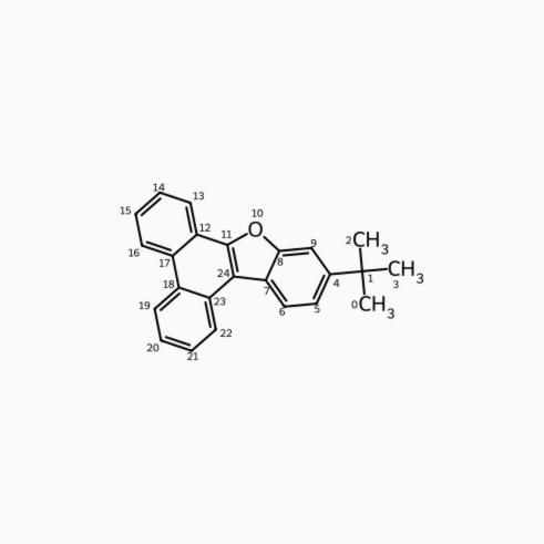 CC(C)(C)c1ccc2c(c1)oc1c3ccccc3c3ccccc3c21